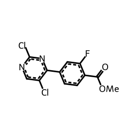 COC(=O)c1ccc(-c2nc(Cl)ncc2Cl)cc1F